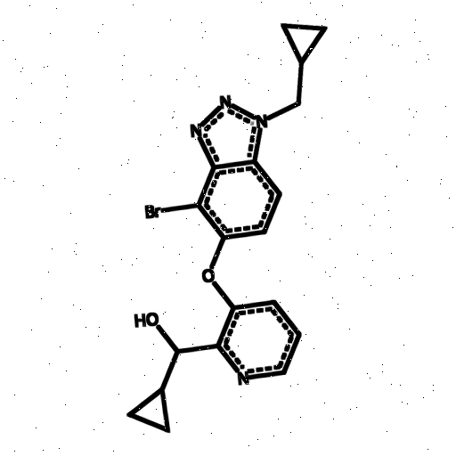 OC(c1ncccc1Oc1ccc2c(nnn2CC2CC2)c1Br)C1CC1